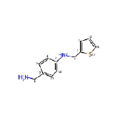 NCc1ccc(NCc2cccs2)cc1